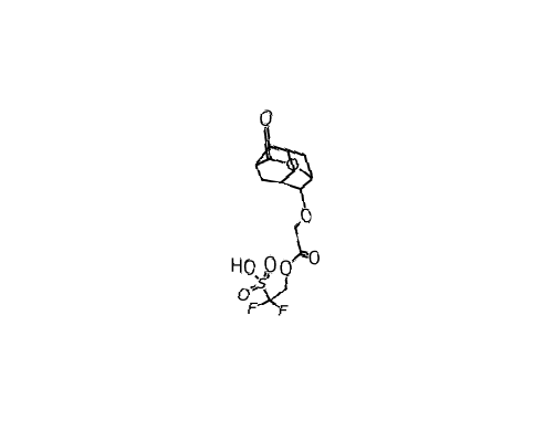 O=C(COC1C2CC3CC(C2)C(=O)OC1C3)OCC(F)(F)S(=O)(=O)O